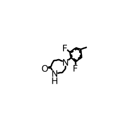 Cc1cc(F)c(N2CCNC(=O)CC2)c(F)c1